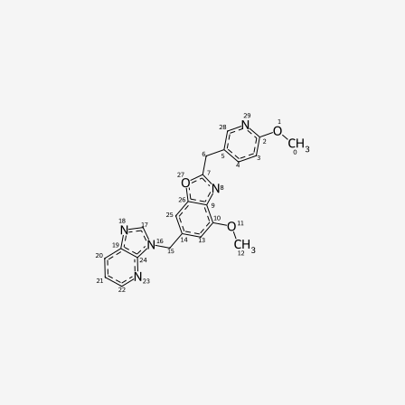 COc1ccc(Cc2nc3c(OC)cc(Cn4cnc5cccnc54)cc3o2)cn1